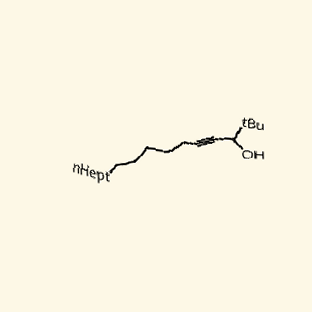 CCCCCCCCCCCCC#CC(O)C(C)(C)C